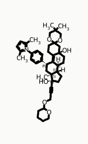 Cc1ccc(C)n1-c1ccc([C@H]2C[C@@]3(C)[C@@H](CC[C@@]3(O)C#CCOC3CCCCO3)[C@@H]3CC[C@@]4(O)CC5(CCC4=C32)OCC(C)(C)CO5)cc1